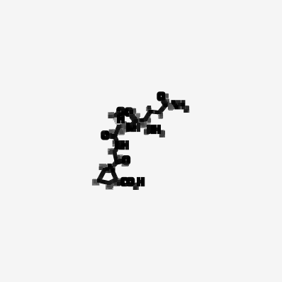 NC(=O)CC[C@H](N)C(=O)N[C@@H](CO)C(=O)NCC(=O)N1CCC[C@H]1C(=O)O